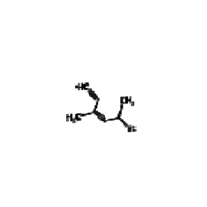 [CH]=CC(C)=CC(C)CC